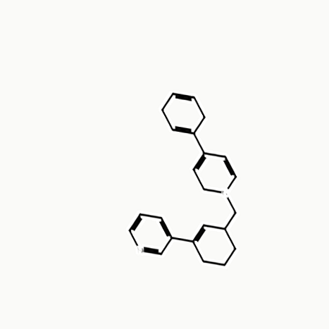 C1=CCC(C2=CCN(CC3C=C(c4cccnc4)CCC3)C=C2)=CC1